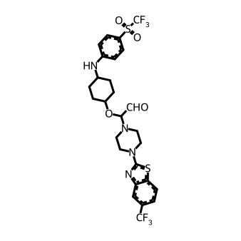 O=CC(OC1CCC(Nc2ccc(S(=O)(=O)C(F)(F)F)cc2)CC1)N1CCN(c2nc3cc(C(F)(F)F)ccc3s2)CC1